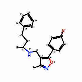 Cc1noc(-c2ccc(Br)cc2)c1CNC(C)CCc1ccccc1